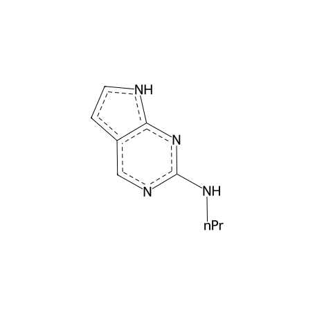 CCCNc1ncc2cc[nH]c2n1